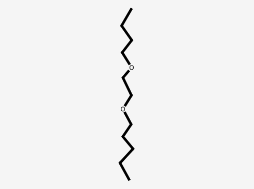 CCCCCOCCOCCCC